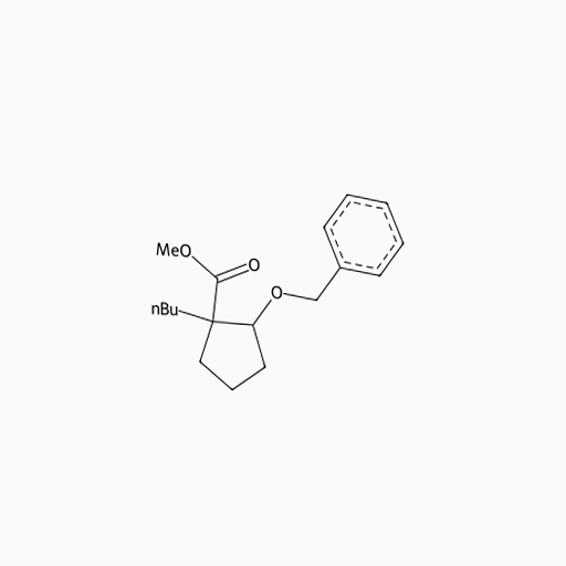 CCCCC1(C(=O)OC)CCCC1OCc1ccccc1